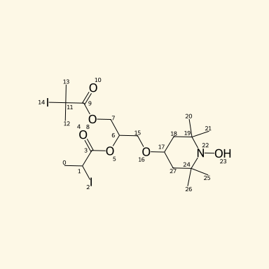 CC(I)C(=O)OC(COC(=O)C(C)(C)I)COC1CC(C)(C)N(O)C(C)(C)C1